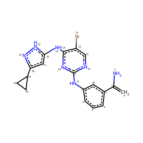 C=C(N)c1cccc(Nc2ncc(Br)c(Nc3cc(C4CC4)n[nH]3)n2)c1